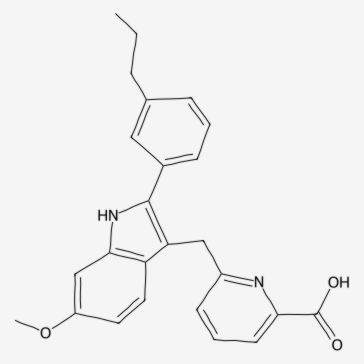 CCCc1cccc(-c2[nH]c3cc(OC)ccc3c2Cc2cccc(C(=O)O)n2)c1